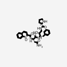 NC(=O)C[C@H](NC(=O)c1ccc2ccccc2[n+]1[O-])C(=O)N[C@@H](Cc1ccccc1)[C@H](O)CNC(=O)[C@@H]1CCCN1